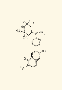 CN(c1ccc(-c2cc3c(=O)n(C)ccc3cc2O)nn1)C1CC(C)(C)NC(C)(C)C1